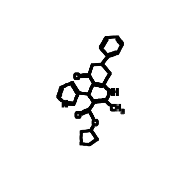 CC1=C(C(=O)OC2CCCC2)C(c2cccnc2)C2=C(CC(c3ccccc3)CC2=O)N1